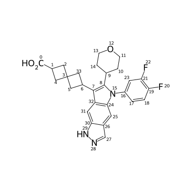 O=C(O)C1CC2(C1)CC(c1c(C3CCOCC3)n(-c3ccc(F)c(F)c3)c3cc4cn[nH]c4cc13)C2